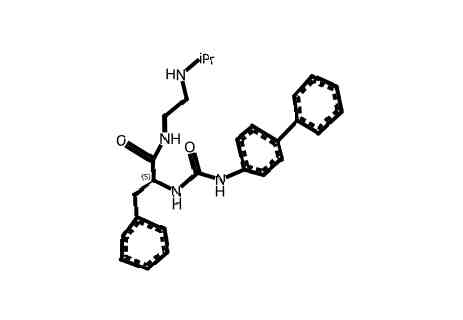 CC(C)NCCNC(=O)[C@H](Cc1ccccc1)NC(=O)Nc1ccc(-c2ccccc2)cc1